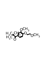 COCCOc1ccc(C(=O)C(C)(C)C)cc1OC